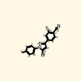 Cc1ccc(-n2nc(-c3ccc(C#N)c(F)c3)cc2Br)cc1